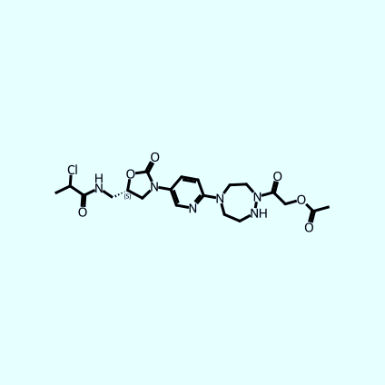 CC(=O)OCC(=O)N1CCN(c2ccc(N3C[C@H](CNC(=O)C(C)Cl)OC3=O)cn2)CCN1